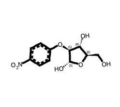 O=[N+]([O-])c1ccc(O[C@H]2[C@H](O)[C@@H](CO)O[C@@H]2O)cc1